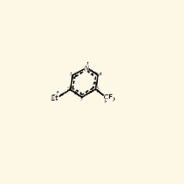 CCc1cncc(C(F)(F)F)c1